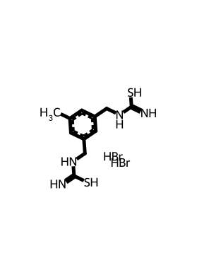 Br.Br.Cc1cc(CNC(=N)S)cc(CNC(=N)S)c1